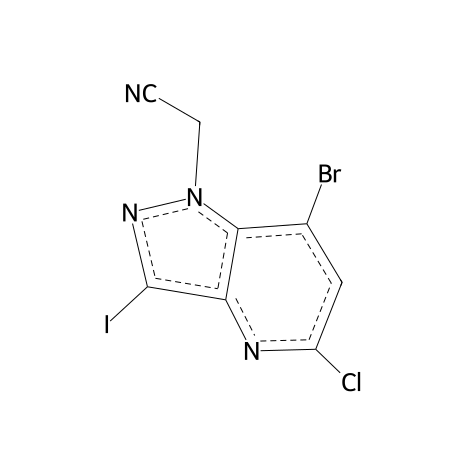 N#CCn1nc(I)c2nc(Cl)cc(Br)c21